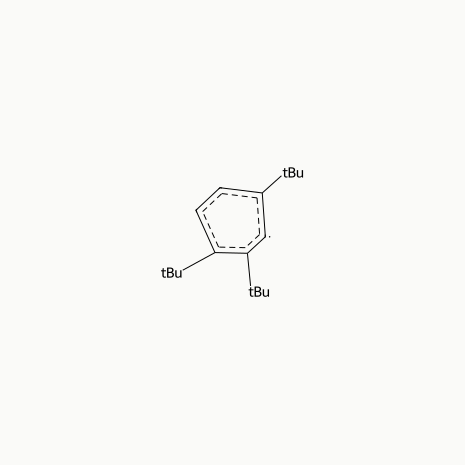 CC(C)(C)c1[c]c(C(C)(C)C)c(C(C)(C)C)cc1